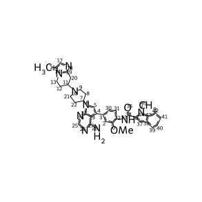 COc1cc(-c2cn(C3CCN(C4CCn5c(C)cnc5C4)CC3)c3ncnc(N)c23)ccc1NC(=O)c1cc2ccccc2n1C